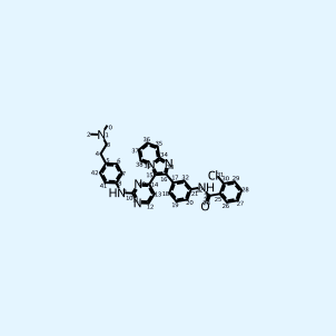 CN(C)CCc1ccc(Nc2nccc(-c3c(-c4cccc(NC(=O)c5ccccc5Cl)c4)nc4ccccn34)n2)cc1